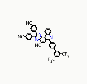 N#Cc1ccc(-c2nc3c(C#N)cc4c(-c5ccc(-c6cc(C(F)(F)F)cc(C(F)(F)F)c6)cc5)nc5ccccc5c4c3nc2-c2ccc(C#N)cc2)cc1